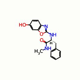 CNC(=O)[C@@H](Cc1ccccc1)Nc1nc2ccc(O)cc2o1